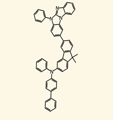 CC1(C)c2ccc(-c3ccc4c(c3)n3c5ccccc5nc3n4-c3ccccc3)cc2-c2cc(N(c3ccccc3)c3ccc(-c4ccccc4)cc3)ccc21